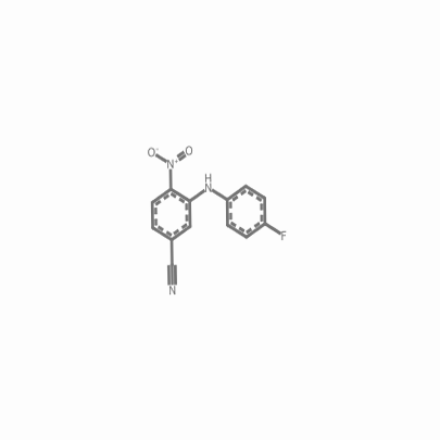 N#Cc1ccc([N+](=O)[O-])c(Nc2ccc(F)cc2)c1